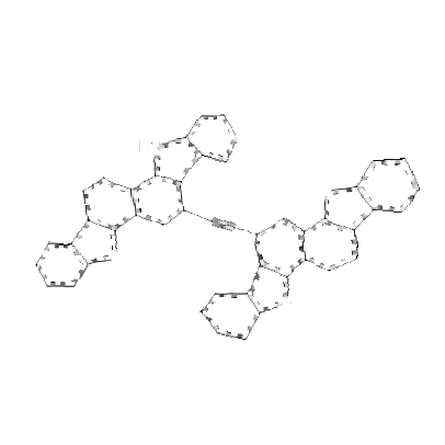 C(#Cc1cc2c(ccc3c4ccccc4sc32)c2oc3ccccc3c12)c1cc2c(ccc3c4ccccc4sc32)c2[nH]c3ccccc3c12